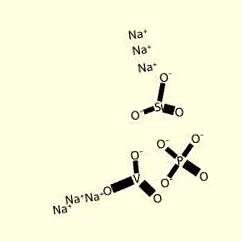 O=P([O-])([O-])[O-].O=[Si]([O-])[O-].[Na+].[Na+].[Na+].[Na+].[Na+].[Na+].[O]=[V](=[O])[O-]